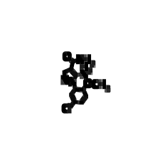 COc1ccc(Cl)cc1-n1ncc(C(N)=O)c1N